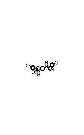 O=S(=O)(NC1CCC(Nc2ccnc3cc(Cl)ccc23)CC1)c1ccc(Cl)cc1Cl